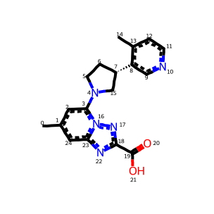 Cc1cc(N2CC[C@H](c3cnccc3C)C2)n2nc(C(=O)O)nc2c1